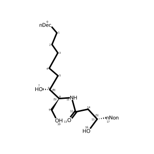 CCCCCCCCCCCCCCC[C@@H](O)[C@H](CO)NC(=O)C[C@@H](O)CCCCCCCCC